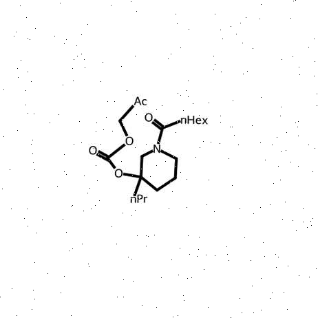 CCCCCCC(=O)N1CCCC(CCC)(OC(=O)OCC(C)=O)C1